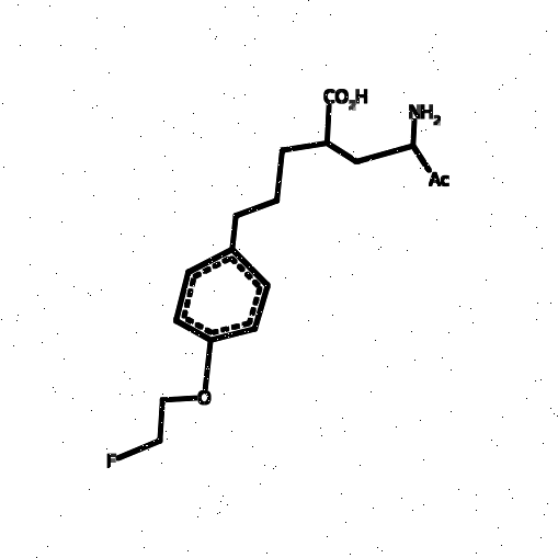 CC(=O)C(N)CC(CCCc1ccc(OCCF)cc1)C(=O)O